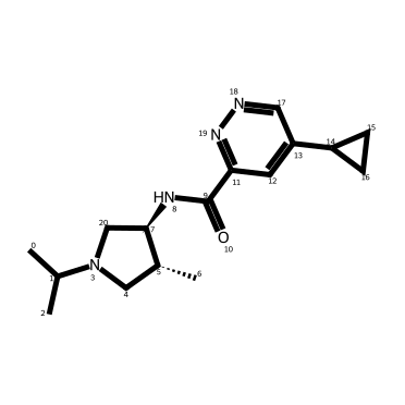 CC(C)N1C[C@@H](C)[C@H](NC(=O)c2cc(C3CC3)cnn2)C1